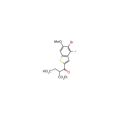 CCOC(=O)C(CC(=O)O)C(=O)c1cc2c(F)c(Br)c(OC)cc2s1